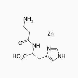 NCCC(=O)NC(Cc1c[nH]cn1)C(=O)O.[Zn]